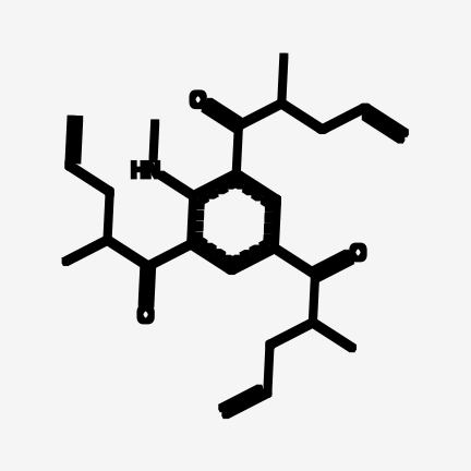 C=CCC(C)C(=O)c1cc(C(=O)C(C)CC=C)c(NC)c(C(=O)C(C)CC=C)c1